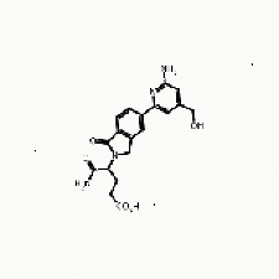 NC(=O)C(CCC(=O)O)N1Cc2cc(-c3cc(CO)cc(N)n3)ccc2C1=O